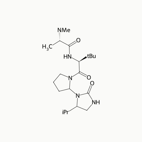 CN[C@@H](C)C(=O)N[C@H](C(=O)N1CCCC1N1C(=O)NCC1C(C)C)C(C)(C)C